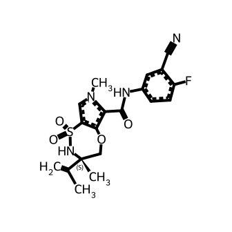 C=C(C)[C@@]1(C)COc2c(cn(C)c2C(=O)Nc2ccc(F)c(C#N)c2)S(=O)(=O)N1